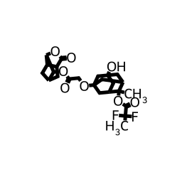 CC(F)(F)C(=O)OC1(C)C2CC3(O)CC1CC(OCC(=O)OC1C4CC5C(=O)OC1C5C4)(C2)C3